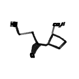 O=C(O)C1CCC1C(=O)CCS